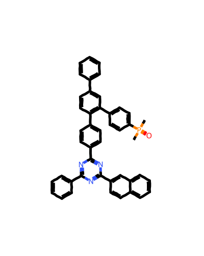 CP(C)(=O)c1ccc(-c2cc(-c3ccccc3)ccc2-c2ccc(-c3nc(-c4ccccc4)nc(-c4ccc5ccccc5c4)n3)cc2)cc1